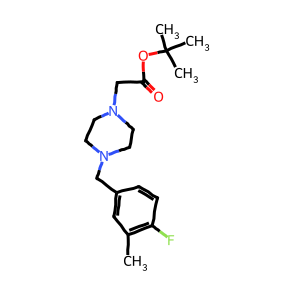 Cc1cc(CN2CCN(CC(=O)OC(C)(C)C)CC2)ccc1F